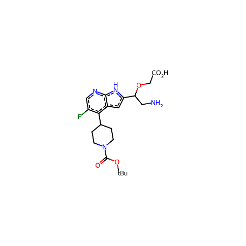 CC(C)(C)OC(=O)N1CCC(c2c(F)cnc3[nH]c(C(CN)OCC(=O)O)cc23)CC1